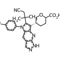 CC(C)(CC#N)c1c([C@H]2CCC(C(=O)O)OC2)c2nc3[nH]ncc3cc2n1-c1ccc(F)cc1